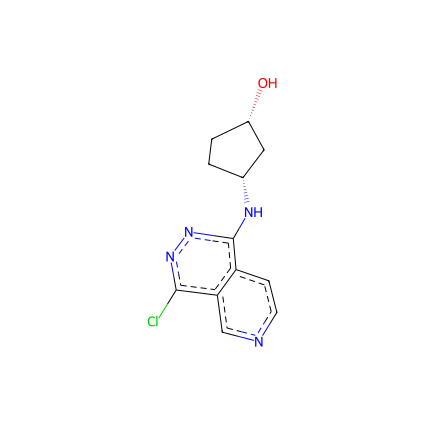 O[C@H]1CC[C@@H](Nc2nnc(Cl)c3cnccc23)C1